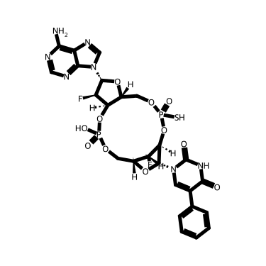 Nc1ncnc2c1ncn2[C@@H]1O[C@@H]2COP(=O)(S)O[C@@H]3[C@H](F)[C@@H](COP(=O)(O)O[C@H]2[C@H]1F)O[C@H]3n1cc(-c2ccccc2)c(=O)[nH]c1=O